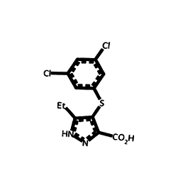 CCc1[nH]nc(C(=O)O)c1Sc1cc(Cl)cc(Cl)c1